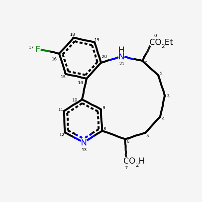 CCOC(=O)C1CCCCC(C(=O)O)c2cc(ccn2)-c2cc(F)ccc2N1